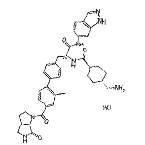 Cc1cc(C(=O)N2CCC3CNC(=O)C32)ccc1-c1ccc(C[C@H](NC(=O)[C@H]2CC[C@H](CN)CC2)C(=O)Nc2ccc3cn[nH]c3c2)cc1.Cl